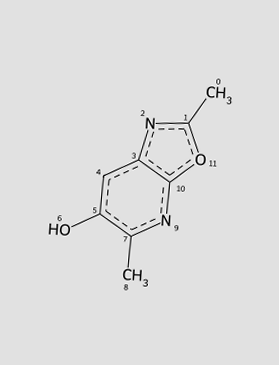 Cc1nc2cc(O)c(C)nc2o1